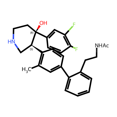 CC(=O)NCCc1ccccc1-c1ccc([C@H]2CNCC[C@]2(O)c2ccc(F)c(F)c2)c(C)c1